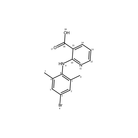 Cc1cc(Br)cc(C)c1Nc1ncccc1C(=O)O